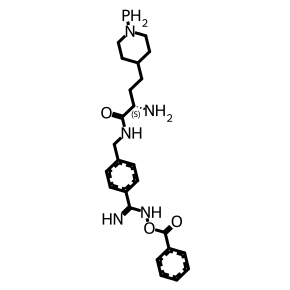 N=C(NOC(=O)c1ccccc1)c1ccc(CNC(=O)[C@@H](N)CCC2CCN(P)CC2)cc1